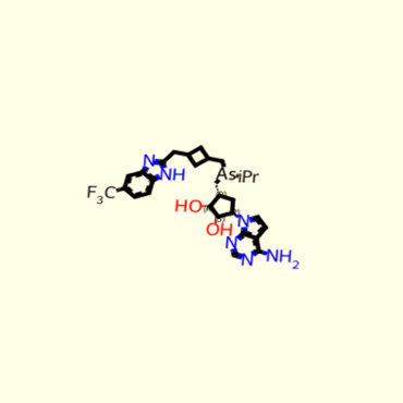 CC(C)[As](CC1CC(Cc2nc3cc(C(F)(F)F)ccc3[nH]2)C1)C[C@@H]1C[C@@H](n2ccc3c(N)ncnc32)[C@H](O)[C@@H]1O